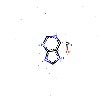 CO.c1ncc2[nH]cnc2n1